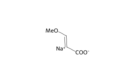 COC=CC(=O)[O-].[Na+]